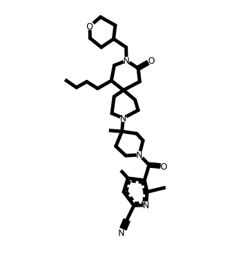 CCCCC1CN(CC2CCOCC2)C(=O)CC12CCN(C1(C)CCN(C(=O)c3c(C)cc(C#N)nc3C)CC1)CC2